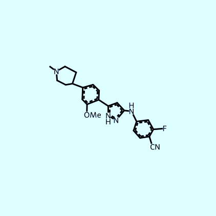 COc1cc(C2CCN(C)CC2)ccc1-c1cc(Nc2ccc(C#N)c(F)c2)n[nH]1